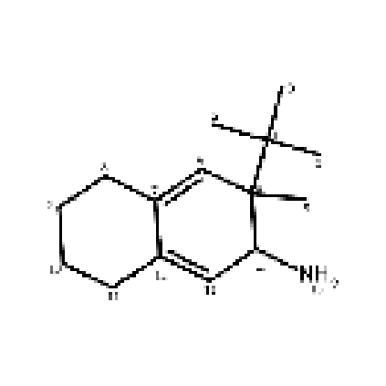 CC(C)(C)C1(C)C=C2CCCCC2=CC1N